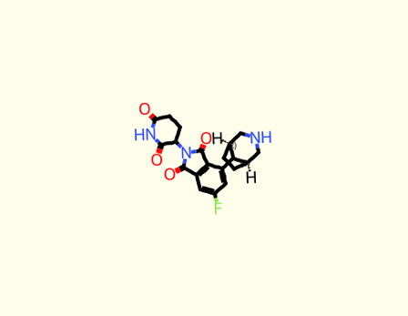 O=C1CCC(N2C(=O)c3cc(F)cc(C4[C@@H]5CC[C@H]4CNC5)c3C2=O)C(=O)N1